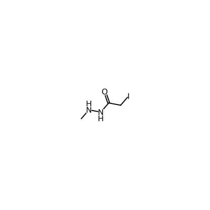 CNNC(=O)CI